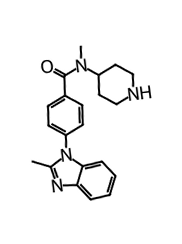 Cc1nc2ccccc2n1-c1ccc(C(=O)N(C)C2CCNCC2)cc1